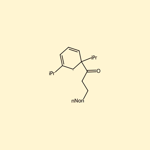 CCCCCCCCCCCC(=O)C1(C(C)C)[CH]C(C(C)C)=CC=C1